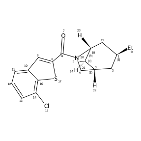 CC[C@H]1C[C@@H]2CN(C(=O)c3cc4cccc(Cl)c4s3)[C@H](C1)[C@@H]2C